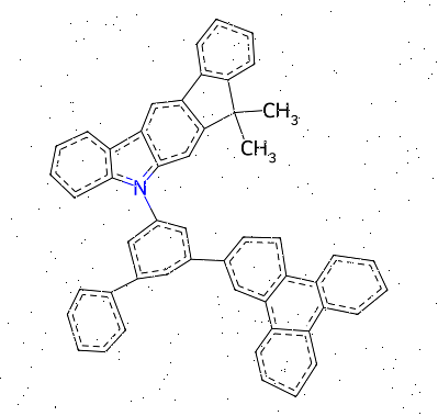 CC1(C)c2ccccc2-c2cc3c4ccccc4n(-c4cc(-c5ccccc5)cc(-c5ccc6c7ccccc7c7ccccc7c6c5)c4)c3cc21